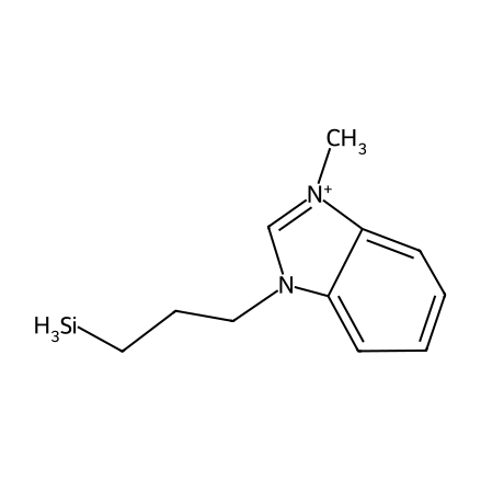 C[n+]1cn(CCC[SiH3])c2ccccc21